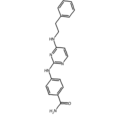 NC(=O)c1ccc(Nc2nccc(NCCc3ccccc3)n2)cc1